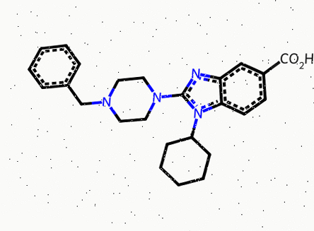 O=C(O)c1ccc2c(c1)nc(N1CCN(Cc3ccccc3)CC1)n2C1CCCCC1